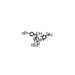 CCCc1ccc(N(C)C(=O)[C@H](Cc2cccc(SC(C)=O)c2)NC(=O)OC(C)(C)C)cc1